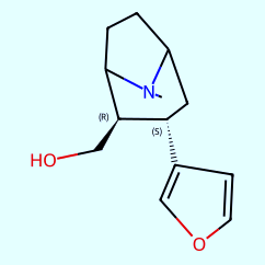 CN1C2CCC1[C@H](CO)[C@@H](c1ccoc1)C2